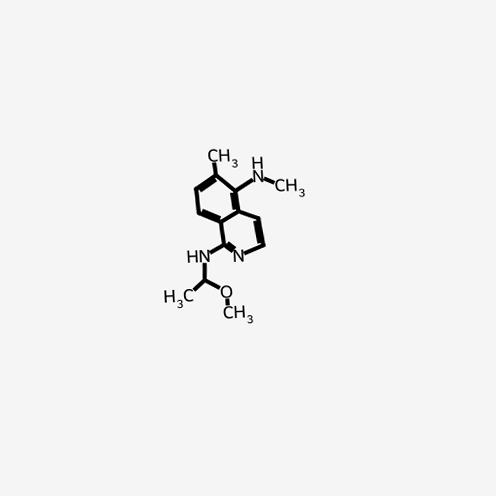 CNc1c(C)ccc2c(NC(C)OC)nccc12